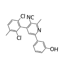 Cc1ccc(Cl)c(-c2cc(-c3cccc(O)c3)nc(C)c2C#N)c1Cl